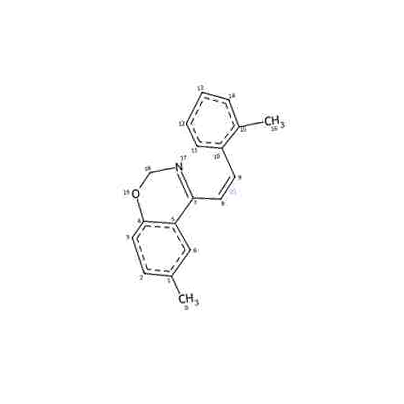 Cc1ccc2c(c1)C(/C=C\c1ccccc1C)=NCO2